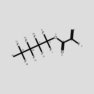 C=C(F)C(=O)OC(F)(F)C(F)(F)C(F)(F)C(C)(F)F